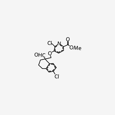 COC(=O)c1ccc(OC[C@@]2(C=O)CCCc3cc(Cl)ccc32)c(Cl)n1